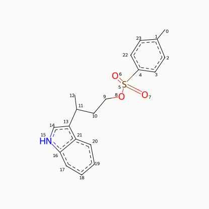 Cc1ccc(S(=O)(=O)OCCC(C)c2c[nH]c3ccccc23)cc1